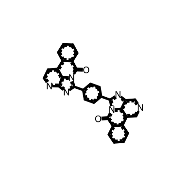 O=c1c2ccccc2c2cncc3nc(-c4ccc(-c5nc6nccc7c8ccccc8c(=O)n5c67)cc4)n1c32